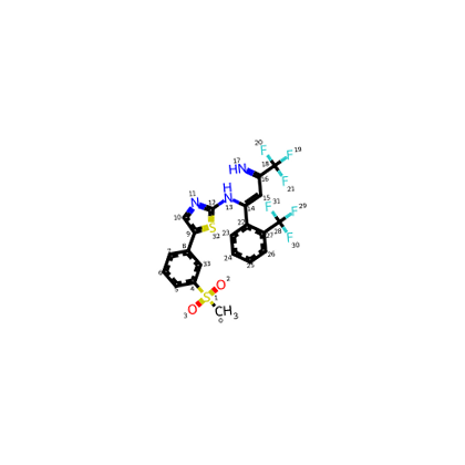 CS(=O)(=O)c1cccc(-c2cnc(N/C(=C\C(=N)C(F)(F)F)c3ccccc3C(F)(F)F)s2)c1